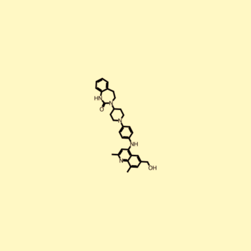 Cc1cc(Nc2ccc(N3CCC(N4CCc5ccccc5NC4=O)CC3)cc2)c2cc(CO)cc(C)c2n1